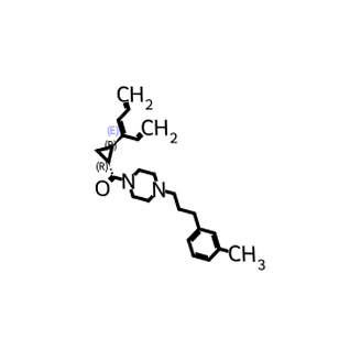 C=C/C=C(\C=C)[C@@H]1C[C@H]1C(=O)N1CCN(CCCc2cccc(C)c2)CC1